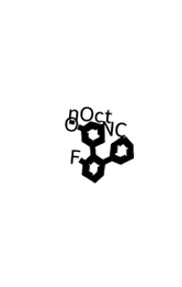 CCCCCCCCOc1cccc(-c2c(F)cccc2-c2cccc(C#N)c2)c1